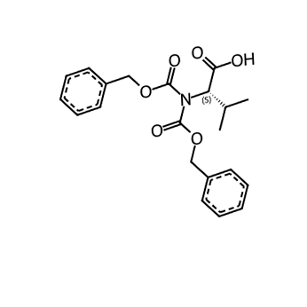 CC(C)[C@@H](C(=O)O)N(C(=O)OCc1ccccc1)C(=O)OCc1ccccc1